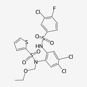 CCOCN(c1cc(Cl)c(Cl)cc1NS(=O)(=O)c1ccc(F)c(Cl)c1)S(=O)(=O)c1cccs1